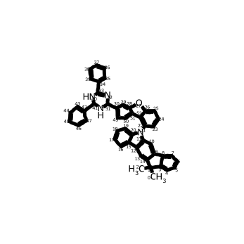 CC1(C)c2ccccc2-c2cc3c(cc21)c1ccccc1n3-c1cccc2oc3cc(C4N=C(c5ccccc5)NC(c5ccccc5)N4)ccc3c12